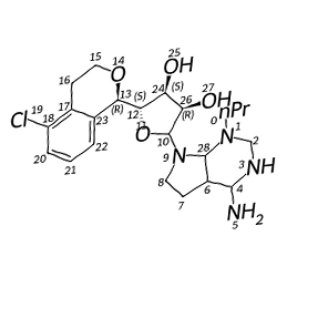 CCCN1CNC(N)C2CCN(C3O[C@H]([C@@H]4OCCc5c(Cl)cccc54)[C@@H](O)[C@H]3O)C21